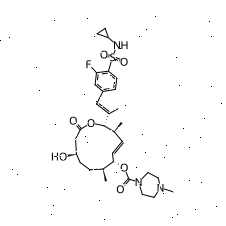 C/C(=C\c1ccc(S(=O)(=O)NC2CC2)c(F)c1)[C@H]1OC(=O)C[C@H](O)CC[C@H](C)[C@@H](OC(=O)N2CCN(C)CC2)/C=C/[C@@H]1C